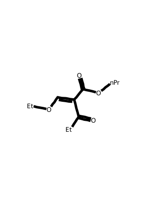 CCCOC(=O)C(=COCC)C(=O)CC